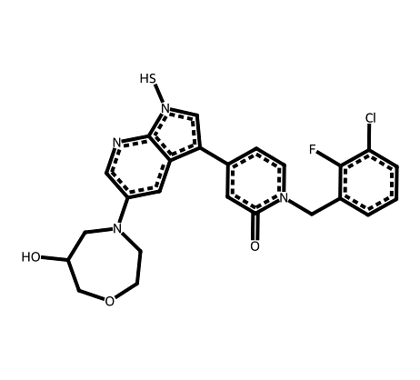 O=c1cc(-c2cn(S)c3ncc(N4CCOCC(O)C4)cc23)ccn1Cc1cccc(Cl)c1F